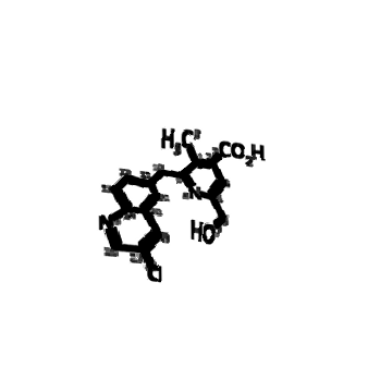 Cc1c(C(=O)O)cc(CO)nc1Cc1ccc2ncc(Cl)cc2c1